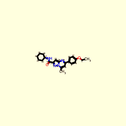 CCOc1ccc(-c2cc(C)n3nc(C(=O)NC4CCCCC4)cc3n2)cc1